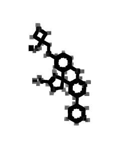 CC1(COc2ccc3c(c2)[C@]2(COC(N)=N2)c2cc(-c4cccnc4)cnc2O3)COC1